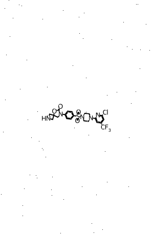 O=C1OC2(CNC2)CN1c1ccc(S(=O)(=O)N2CCN(c3cc(C(F)(F)F)cc(Cl)n3)CC2)cc1